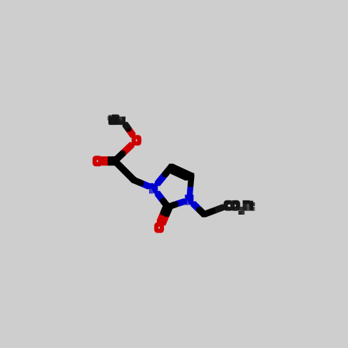 CCOC(=O)Cn1ccn(CC(=O)OC(C)(C)C)c1=O